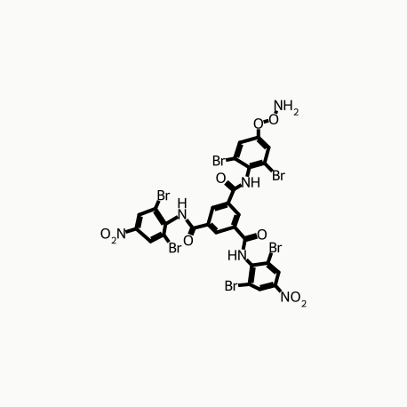 NOOc1cc(Br)c(NC(=O)c2cc(C(=O)Nc3c(Br)cc([N+](=O)[O-])cc3Br)cc(C(=O)Nc3c(Br)cc([N+](=O)[O-])cc3Br)c2)c(Br)c1